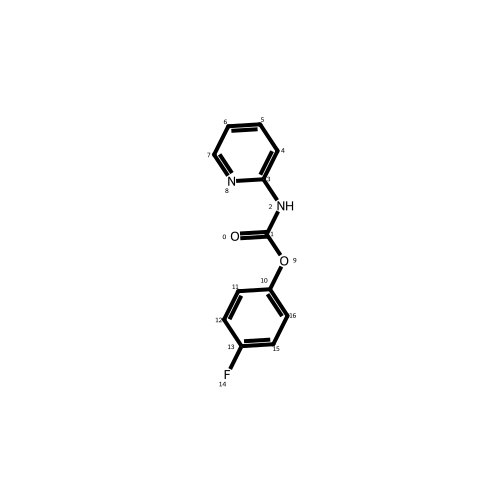 O=C(Nc1ccccn1)Oc1ccc(F)cc1